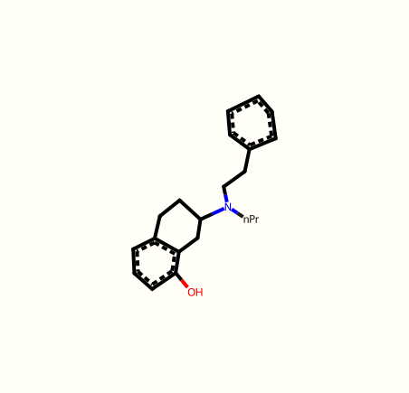 CCCN(CCc1ccccc1)C1CCc2cccc(O)c2C1